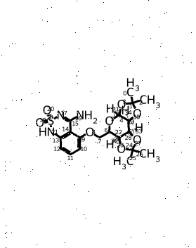 CC1(C)O[C@H]2OC(COc3cccc4c3C(N)=NS(=O)(=O)N4)[C@@H]3OC(C)(C)O[C@@H]3[C@@H]2O1